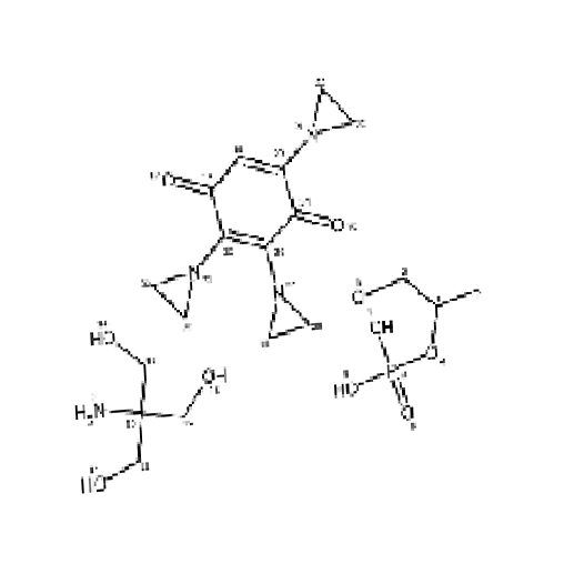 CC(CCl)OP(=O)(O)O.NC(CO)(CO)CO.O=C1C=C(N2CC2)C(=O)C(N2CC2)=C1N1CC1